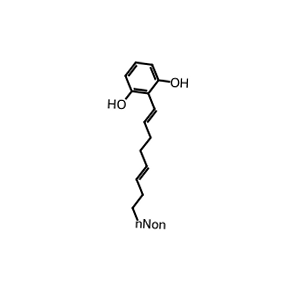 CCCCCCCCCCCC=CCCC=Cc1c(O)cccc1O